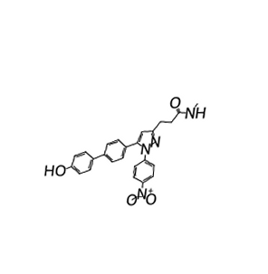 CNC(=O)CCc1cc(-c2ccc(-c3ccc(O)cc3)cc2)n(-c2ccc([N+](=O)[O-])cc2)n1